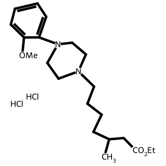 CCOC(=O)CC(C)CCCCN1CCN(c2ccccc2OC)CC1.Cl.Cl